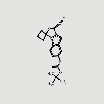 CC(C)(C)OC(=O)Nc1ccc2c(c1)cc1n2C2(CCC2)OC1=C=O